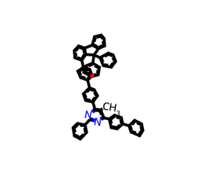 Cc1c(-c2ccc(-c3ccccc3)cc2)nc(-c2ccccc2)nc1-c1ccc(-c2ccc(-c3cccc4c3C(c3ccccc3)(c3ccccc3)c3ccccc3-4)cc2)cc1